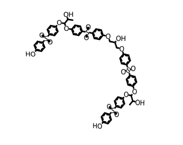 CC(O)C(Oc1ccc(S(=O)(=O)c2ccc(O)cc2)cc1)Oc1ccc(S(=O)(=O)c2ccc(OCC(O)COc3ccc(S(=O)(=O)c4ccc(OC(Oc5ccc(S(=O)(=O)c6ccc(O)cc6)cc5)C(C)O)cc4)cc3)cc2)cc1